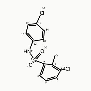 Cc1c(Cl)cccc1S(=O)(=O)Nc1ccc(Cl)cc1